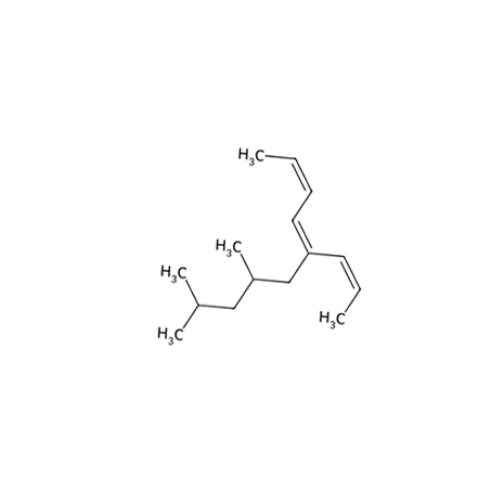 C\C=C/C=C(\C=C/C)CC(C)CC(C)C